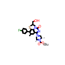 Cc1cc2c(N3C[C@@H](C)N(C(=O)OC(C)(C)C)[C@@H](C)C3)nc(=O)n3c2c(c1-c1ccc(F)cc1)SCC(CO)C3